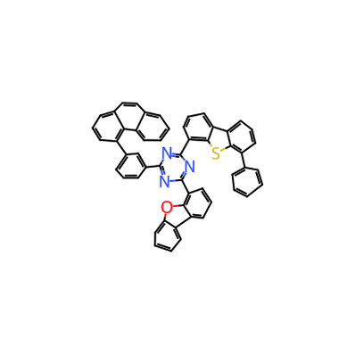 c1ccc(-c2cccc3c2sc2c(-c4nc(-c5cccc(-c6cccc7ccc8ccccc8c67)c5)nc(-c5cccc6c5oc5ccccc56)n4)cccc23)cc1